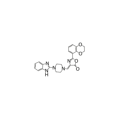 O=C1OC(c2cccc3c2OCCO3)=NC1=CN1CCN(c2nc3ccccc3[nH]2)CC1